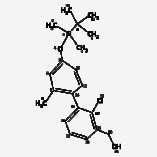 Cc1cc(O[Si](C)(C)C(C)(C)C)ccc1-c1cccc(CO)c1Cl